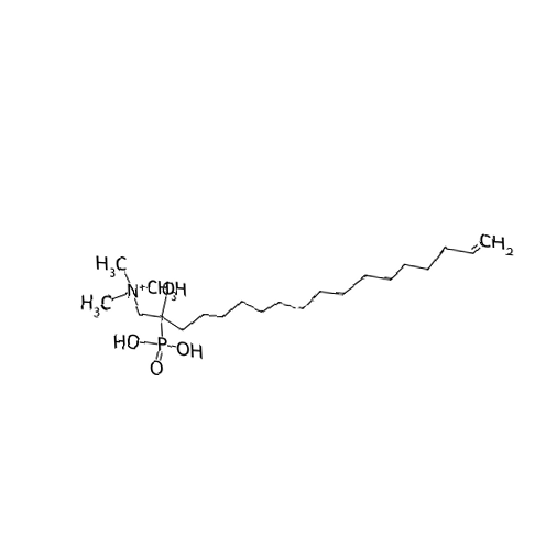 C=CCCCCCCCCCCCCCCC(O)(C[N+](C)(C)C)P(=O)(O)O